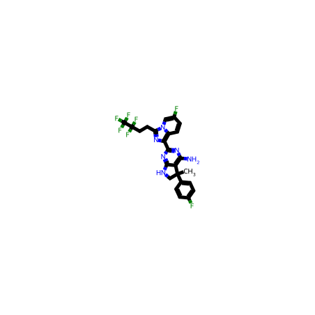 CC1(c2ccc(F)cc2)CNc2nc(-c3nc(CCC(F)(F)C(F)(F)F)n4cc(F)ccc34)nc(N)c21